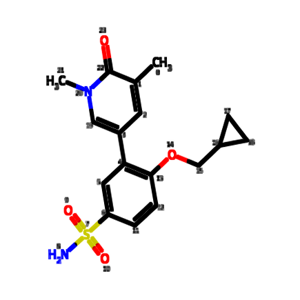 Cc1cc(-c2cc(S(N)(=O)=O)ccc2OCC2CC2)cn(C)c1=O